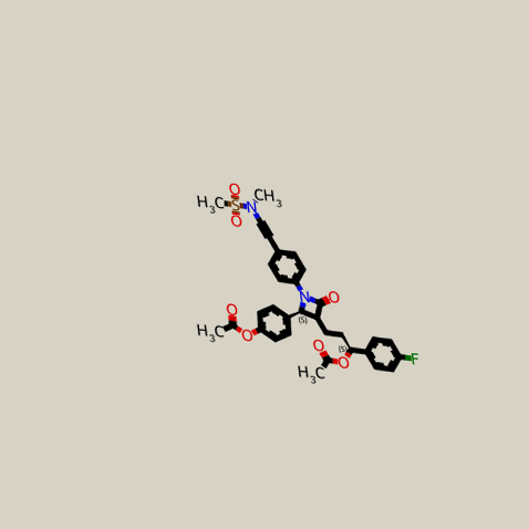 CC(=O)Oc1ccc([C@@H]2C(CC[C@H](OC(C)=O)c3ccc(F)cc3)C(=O)N2c2ccc(C#CN(C)S(C)(=O)=O)cc2)cc1